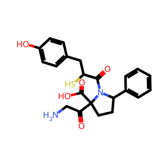 NCC(=O)C1(C(=O)O)CCC(c2ccccc2)N1C(=O)C(S)Cc1ccc(O)cc1